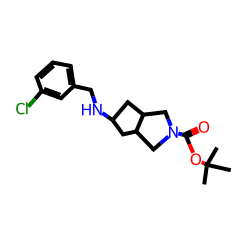 CC(C)(C)OC(=O)N1CC2CC(NCc3cccc(Cl)c3)CC2C1